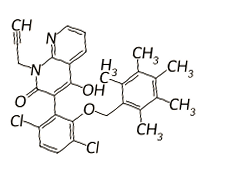 C#CCn1c(=O)c(-c2c(Cl)ccc(Cl)c2OCc2c(C)c(C)c(C)c(C)c2C)c(O)c2cccnc21